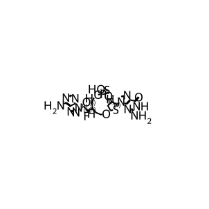 Nc1nc2c(ncn2[C@@H]2SC3C[C@H]2OP(O)(=S)OC[C@H]2O[C@@H](n4nnc5c(N)ncnc54)[C@@H](F)[C@@H]2CCO3)c(=O)[nH]1